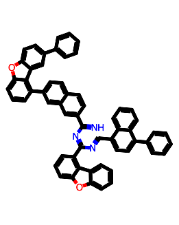 N=C(/N=C(\N=C\c1ccc(-c2ccccc2)c2ccccc12)c1cccc2oc3ccccc3c12)c1ccc2ccc(-c3cccc4oc5ccc(-c6ccccc6)cc5c34)cc2c1